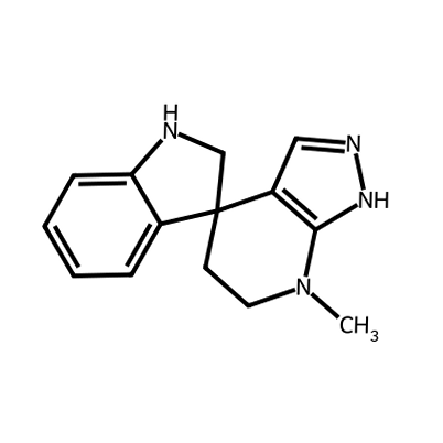 CN1CCC2(CNc3ccccc32)c2cn[nH]c21